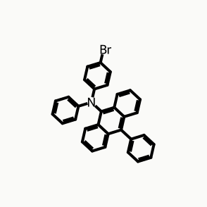 Brc1ccc(N(c2ccccc2)c2c3ccccc3c(-c3ccccc3)c3ccccc23)cc1